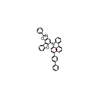 c1ccc(-c2ccc(-c3ccc(N(c4ccccc4-c4ccccc4)c4cc5nc(-c6ccccc6)oc5c5c4oc4ccccc45)cc3)cc2)cc1